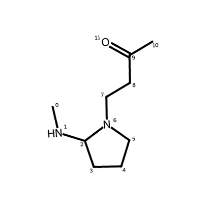 CNC1CCCN1CCC(C)=O